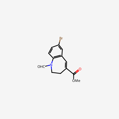 COC(=O)C1=Cc2cc(Br)ccc2N(C=O)CC1